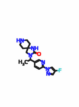 CC(c1ccc(-n2cc(F)cn2)nc1)N1CC2(CCNCC2)NC1=O